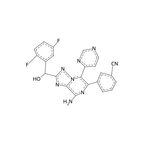 N#Cc1cccc(-c2nc(N)c3nc(C(O)c4cc(F)ccc4F)nn3c2-c2ccncn2)c1